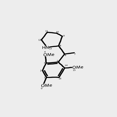 COc1cc(OC)c(C(C)C2CCCCN2)c(OC)c1